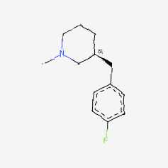 [CH2]N1CCC[C@@H](Cc2ccc(F)cc2)C1